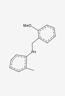 COc1ccccc1CPc1ccccc1C